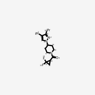 CC(C)c1cn(C2CCN(C(=O)C3CC3(F)F)CC2)nc1C(C)C